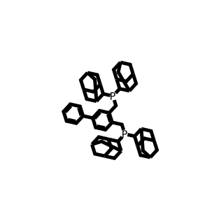 c1ccc(-c2ccc(CP(C3C4CC5CC(C4)CC3C5)C3C4CC5CC(C4)CC3C5)c(CP(C3C4CC5CC(C4)CC3C5)C3C4CC5CC(C4)CC3C5)c2)cc1